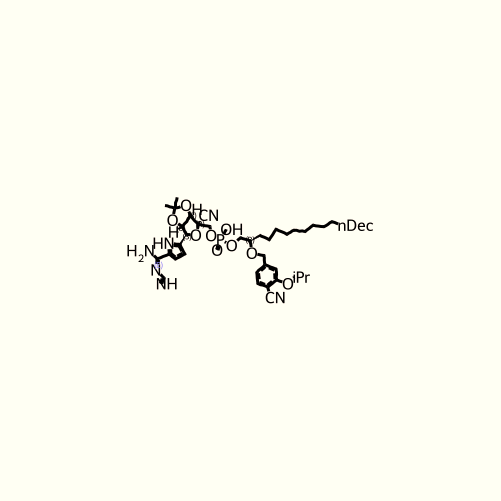 CCCCCCCCCCCCCCCCCCC[C@H](COP(=O)(O)OC[C@@]1(C#N)O[C@@H](c2ccc(/C(N)=N\C=N)[nH]2)[C@@H]2OC(C)(C)O[C@@H]21)OCc1ccc(C#N)c(OC(C)C)c1